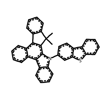 CC1(C)c2ccccc2-c2c1c1c(c3ccccc23)c2ccccc2n1-c1ccc2c(c1)sc1ccccc12